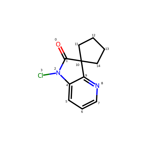 O=C1N(Cl)c2cccnc2C12CCCC2